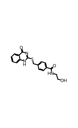 O=C(NCCO)c1ccc(CSc2nc(=O)c3ccccc3[nH]2)cc1